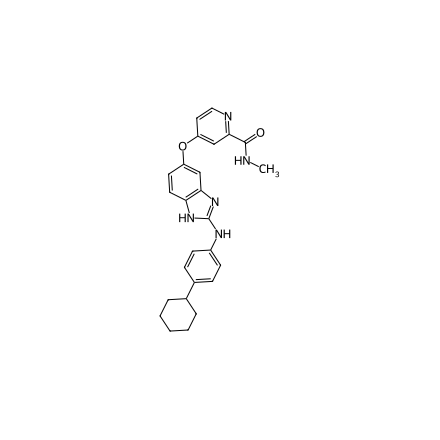 CNC(=O)c1cc(Oc2ccc3[nH]c(Nc4ccc(C5CCCCC5)cc4)nc3c2)ccn1